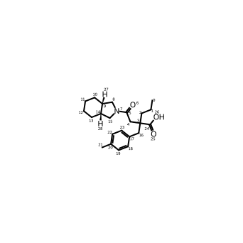 CCCC(CC(=O)N1C[C@H]2CCCC[C@H]2C1)(Cc1ccc(C)cc1)C(=O)O